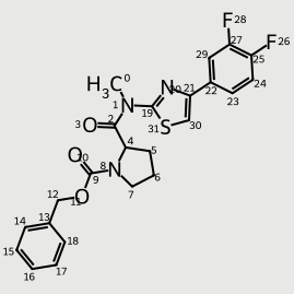 CN(C(=O)C1CCCN1C(=O)OCc1ccccc1)c1nc(-c2ccc(F)c(F)c2)cs1